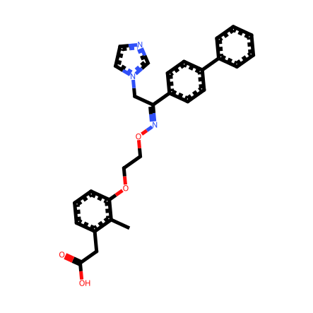 Cc1c(CC(=O)O)cccc1OCCO/N=C(\Cn1ccnc1)c1ccc(-c2ccccc2)cc1